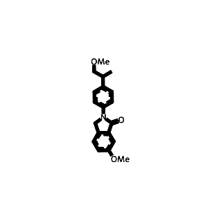 COCC(C)c1ccc(N2Cc3ccc(OC)cc3C2=O)cc1